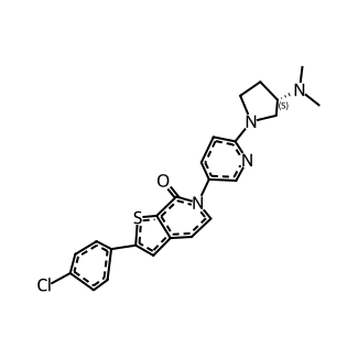 CN(C)[C@H]1CCN(c2ccc(-n3ccc4cc(-c5ccc(Cl)cc5)sc4c3=O)cn2)C1